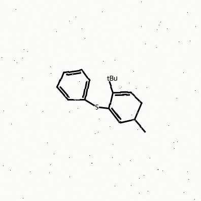 CC1C=C(Sc2ccccc2)C(C(C)(C)C)=CC1